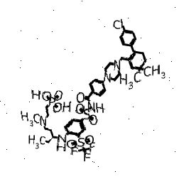 CC[C@@H](CCN(C)CCP(=O)(O)O)Nc1ccc(S(=O)(=O)NC(=O)c2ccc(N3CCN(CC4=C(c5ccc(Cl)cc5)CCC(C)(C)C4)CC3)cc2)cc1S(=O)(=O)C(F)(F)F